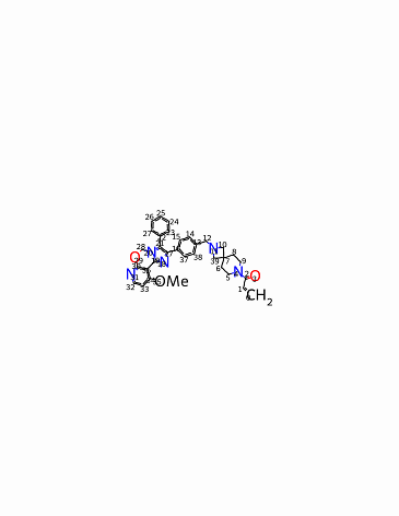 C=CC(=O)N1CCC2(CC1)CN(Cc1ccc(-c3nc4n(c3-c3ccccc3)COc3nccc(OC)c3-4)cc1)C2